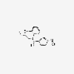 CCCCC(C(=O)c1ccc(N=O)cc1)c1ccccc1Br